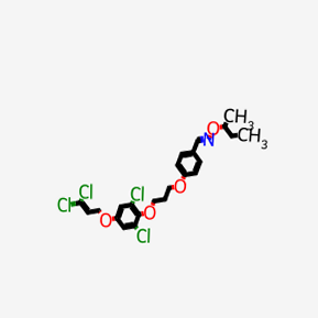 CCC(C)ON=Cc1ccc(OCCCOc2c(Cl)cc(OCC=C(Cl)Cl)cc2Cl)cc1